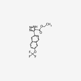 CCOC(=O)c1[nH]nnc1-c1cc2ccc(OC(F)(F)F)cc2cn1